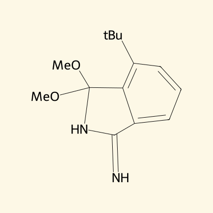 COC1(OC)NC(=N)c2cccc(C(C)(C)C)c21